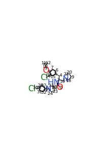 O=C(NC(Cc1ccc(OC2CC2)c(Cl)c1)CN1CCCC1)[C@@H]1CCN(c2ccc(Cl)cc2)C1